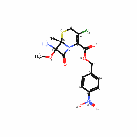 COC1(N)C(=O)N2C(C(=O)OCc3ccc([N+](=O)[O-])cc3)=C(Cl)CS[C@H]21